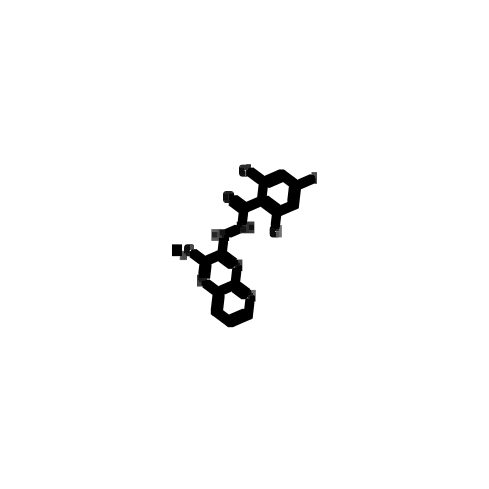 Cc1nc2cccnc2nc1NNC(=O)c1c(Cl)cc(I)cc1Cl